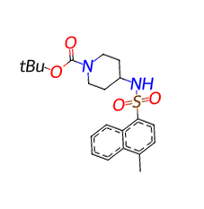 Cc1ccc(S(=O)(=O)NC2CCN(C(=O)OC(C)(C)C)CC2)c2ccccc12